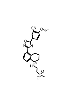 CC(C)Oc1ccc(-c2nc(-c3cccc4c3CCC[C@@H]4NCCS(C)(=O)=O)no2)cc1C#N